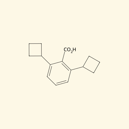 O=C(O)c1c(C2CCC2)cccc1C1CCC1